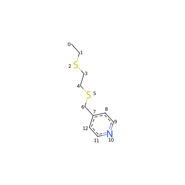 CCSCCSCc1ccncc1